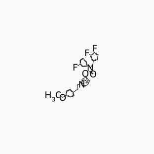 COc1ccc(CC[N+]23CCC(CC2)C(OC(=O)N(Cc2ccc(F)c(F)c2)c2cccc(F)c2)C3)cc1